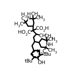 CC(CC(Cc1cc(C(C)(C)C)c(O)c(C(C)(C)C)c1)C1CC(C)(C)NC(C)(C)C1)C(C(=O)O)(C(=O)O)C1CC(C)(C)NC(C)(C)C1